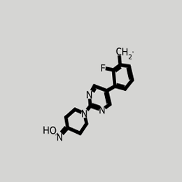 [CH2]c1cccc(-c2cnc(N3CCC(=NO)CC3)nc2)c1F